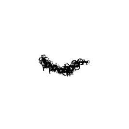 CCCCOC1COC(c2cc(F)c(C(F)(F)Oc3ccc(-c4ccc(-c5ccc(OC(F)(F)F)c(F)c5)c(F)c4)cc3)c(F)c2)OC1